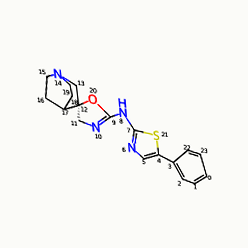 c1ccc(-c2cnc(NC3=NC[C@]4(CN5CCC4CC5)O3)s2)cc1